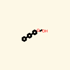 OCCOc1ccc(-c2ccc(-c3ccccc3)cc2)cc1